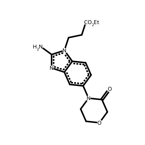 CCOC(=O)CCn1c(N)nc2cc(N3CCOCC3=O)ccc21